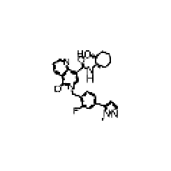 Cn1nccc1-c1ccc(Cn2cc(C(=O)N[C@H]3CCCC[C@@H]3O)c3ncccc3c2=O)c(F)c1